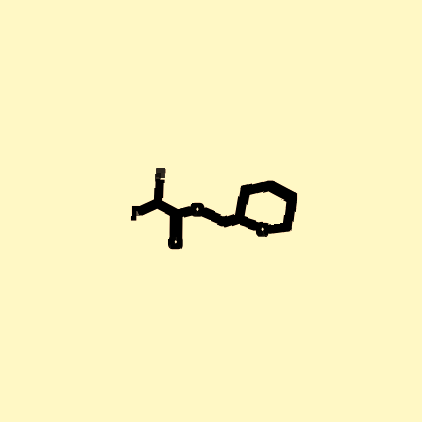 O=C(OCC1CCCCO1)C(F)F